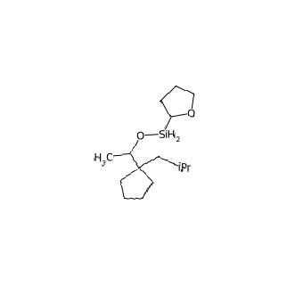 CC(C)CC1(C(C)O[SiH2]C2CCCO2)CCCC1